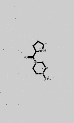 CN1CCN(C(=O)C2CCCN2)CC1